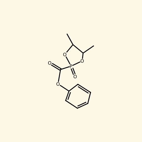 CC1OP(=O)(C(=O)Oc2ccccc2)OC1C